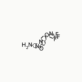 NC1CCN(C(=O)c2ccc3cc(Oc4ccc(C(F)(F)F)cn4)ccc3n2)CC1